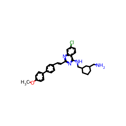 COc1ccc(-c2ccc(C=Cc3nc(NCC4CCCC(CN)C4)c4ccc(Cl)cc4n3)cc2)cc1